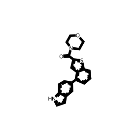 O=C(c1cc2c(-c3ccc4[nH]ccc4c3)cccc2s1)N1CCOCC1